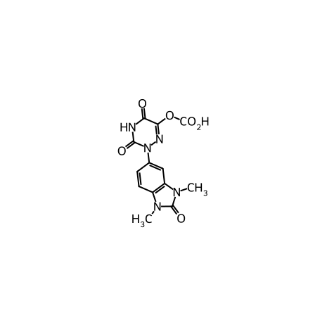 Cn1c(=O)n(C)c2cc(-n3nc(OC(=O)O)c(=O)[nH]c3=O)ccc21